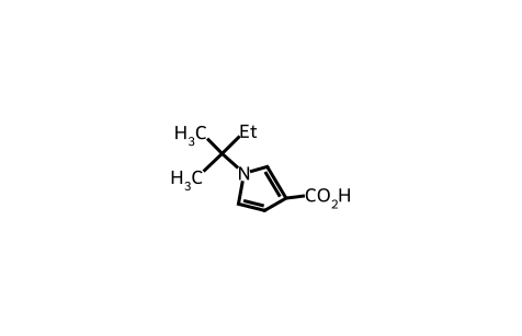 CCC(C)(C)n1ccc(C(=O)O)c1